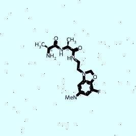 CNc1cc(F)c2c(c1)N(CCNC(=O)[C@H](C)NC(=O)[C@H](C)N)CO2